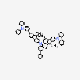 CC1(C)c2cc(-c3ccc4c5ccccc5n(-c5ccccc5)c4c3)ccc2-c2ccc(N(c3ccc(-c4ccccc4)cc3)c3ccc4c(c3)C(C)(C)c3cc(-n5c6ccccc6c6ccccc65)ccc3-4)cc21